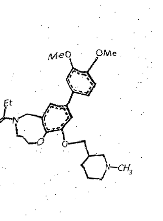 CCC(=O)N1CCOc2c(cc(-c3ccc(OC)c(OC)c3)cc2OCC2CCCN(C)C2)C1